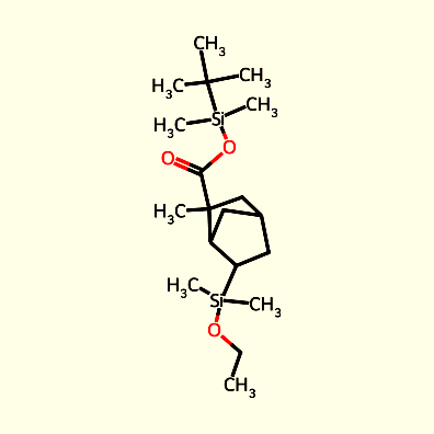 CCO[Si](C)(C)C1CC2CC1C(C)(C(=O)O[Si](C)(C)C(C)(C)C)C2